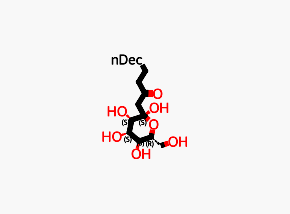 CCCCCCCCCCCCC(=O)C[C@]1(O)O[C@H](CO)[C@@H](O)[C@H](O)[C@@H]1O